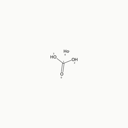 O=C(O)O.[Ho]